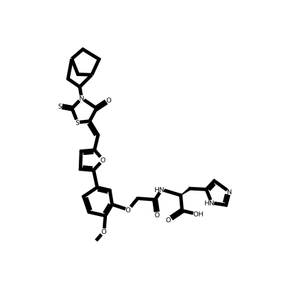 COc1ccc(-c2ccc(C=C3SC(=S)N(C4CC5CCC4C5)C3=O)o2)cc1OCC(=O)N[C@@H](Cc1cnc[nH]1)C(=O)O